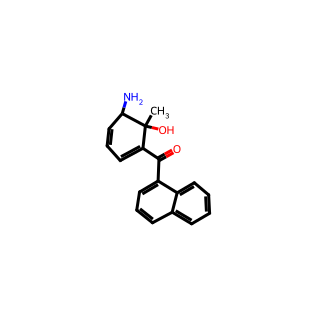 CC1(O)C(C(=O)c2cccc3ccccc23)=CC=CC1N